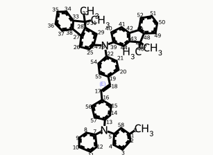 Cc1cccc(N(c2ccccc2)c2ccc(/C=C/c3ccc(N(c4ccc5c(c4)C(C)(C)c4ccccc4-5)c4ccc5c(c4)C(C)(C)c4ccccc4-5)cc3)cc2)c1